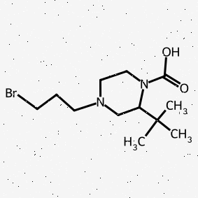 CC(C)(C)C1CN(CCCBr)CCN1C(=O)O